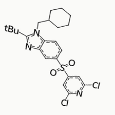 CC(C)(C)c1nc2cc(S(=O)(=O)c3cc(Cl)nc(Cl)c3)ccc2n1CC1CCCCC1